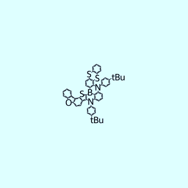 CC(C)(C)c1ccc(N2c3cccc4c3B(c3ccc5c(c32)Sc2ccccc2S5)c2sc3c(ccc5oc6ccccc6c53)c2N4c2ccc(C(C)(C)C)cc2)cc1